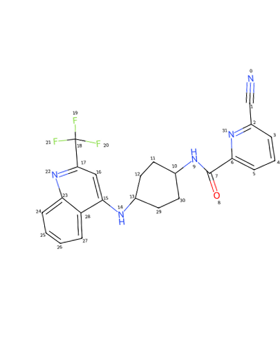 N#Cc1cccc(C(=O)NC2CCC(Nc3cc(C(F)(F)F)nc4ccccc34)CC2)n1